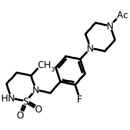 CC(=O)N1CCN(c2ccc(CN3C(C)CCNS3(=O)=O)c(F)c2)CC1